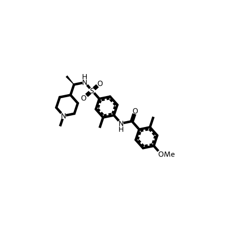 COc1ccc(C(=O)Nc2ccc(S(=O)(=O)N[C@H](C)C3CCN(C)CC3)cc2C)c(C)c1